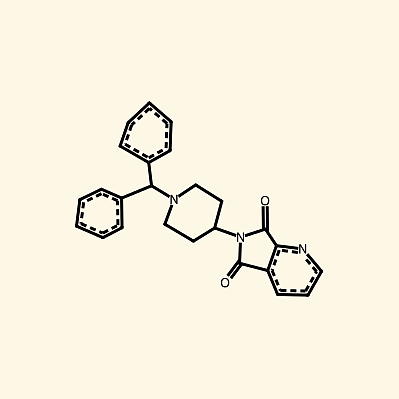 O=C1c2cccnc2C(=O)N1C1CCN(C(c2ccccc2)c2ccccc2)CC1